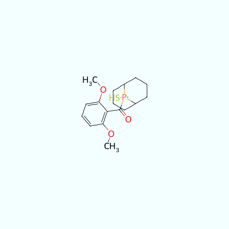 COc1cccc(OC)c1C(=O)[P]1(S)C2CCCC1CCC2